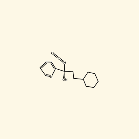 O=C=N[C@](O)(CCC1CCCCC1)c1ccccn1